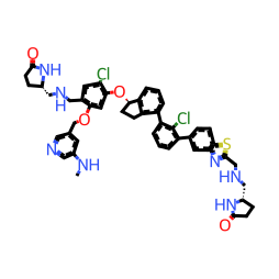 CNc1cncc(COc2cc(O[C@H]3CCc4c(-c5cccc(-c6ccc7sc(CNC[C@@H]8CCC(=O)N8)nc7c6)c5Cl)cccc43)c(Cl)cc2CNC[C@@H]2CCC(=O)N2)c1